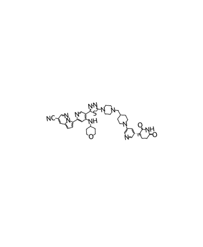 N#Cc1cnn2c(-c3cc(NC4CCOCC4)c(-c4nnc(N5CCN(CC6CCN(c7cncc([C@H]8CCC(=O)NC8=O)c7)CC6)CC5)s4)cn3)ccc2c1